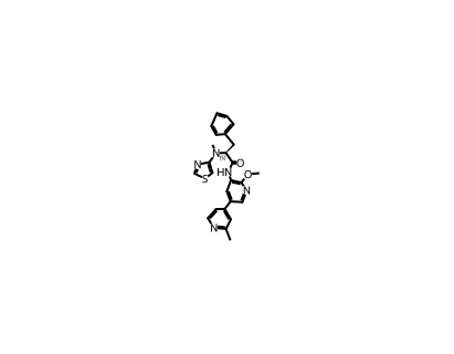 COc1ncc(-c2ccnc(C)c2)cc1NC(=O)[C@H](Cc1ccccc1)N(C)c1cscn1